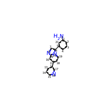 Nc1cccc(-c2cnc3cc(-c4cccnc4)ccn23)c1